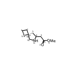 COC(=O)CC1C[C@]2(CCS2)CN1